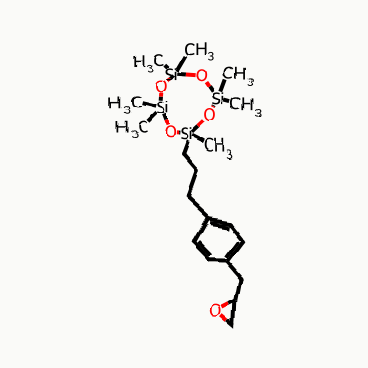 C[Si]1(C)O[Si](C)(C)O[Si](C)(CCCc2ccc(CC3CO3)cc2)O[Si](C)(C)O1